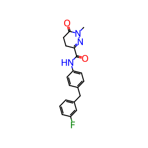 CN1N=C(C(=O)Nc2ccc(Cc3cccc(F)c3)cc2)CCC1=O